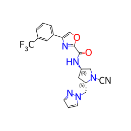 N#CN1C[C@H](NC(=O)c2nc(-c3cccc(C(F)(F)F)c3)co2)C[C@H]1Cn1cccn1